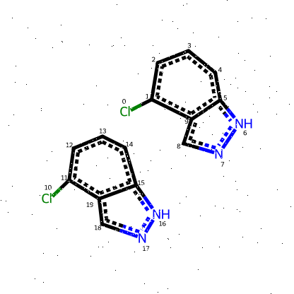 Clc1cccc2[nH]ncc12.Clc1cccc2[nH]ncc12